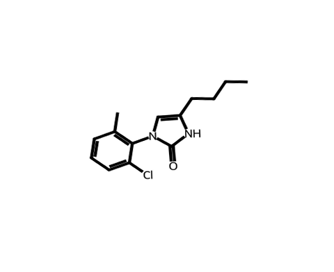 CCCCc1cn(-c2c(C)cccc2Cl)c(=O)[nH]1